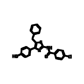 O=C(Nc1nc(-c2ccc(O)cc2)c(Cc2ccccc2)s1)c1ccc(Cl)cc1